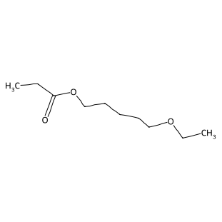 CCOCCCCCOC(=O)CC